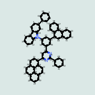 c1ccc(-c2ccc3c4ccccc4n(-c4cc(-c5cc(-c6ccc7ccc8cccc9ccc6c7c89)nc(-c6ccccc6)n5)cc(-c5cc6ccccc6c6ccccc56)c4)c3c2)cc1